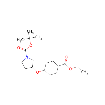 CCOC(=O)C1CCC(O[C@@H]2CCN(C(=O)OC(C)(C)C)C2)CC1